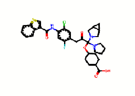 O=C(Nc1cc(F)c(CC(=O)C(OC2CCC(C(=O)O)CC2)(N2CCCC2)N2CC3CC3C2)cc1Cl)c1csc2ccccc12